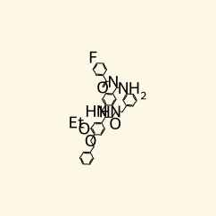 CCOc1cc(C(Nc2ccc(/C(N)=N\C(=O)c3ccc(F)cc3)cc2)C(=O)NCc2ccccc2)ccc1OCc1ccccc1